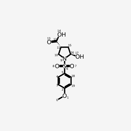 COc1ccc(S(=O)(=O)N2C[C@H](C(=O)O)C[C@H]2O)cc1